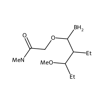 BC(OCC(=O)NC)C(CC)C(CC)OC